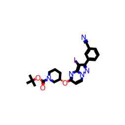 CC(C)(C)OC(=O)N1CCC[C@@H](Oc2ccn3nc(-c4cccc(C#N)c4)c(I)c3n2)C1